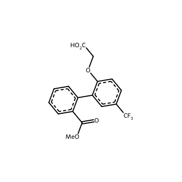 COC(=O)c1ccccc1-c1cc(C(F)(F)F)ccc1OCC(=O)O